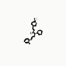 Cc1ccccc1C=CCC(C(=O)C=Cc1ccc(Cl)cc1)c1ccccc1